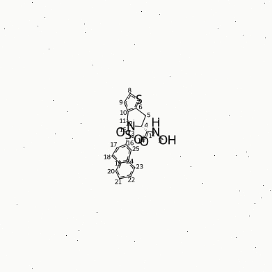 O=C(NO)[C@H]1Cc2sccc2CN1S(=O)(=O)c1ccc2ccccc2c1